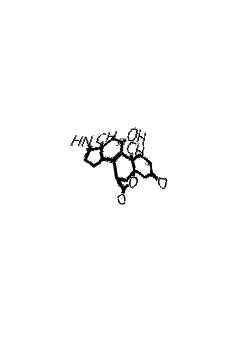 CC12C[C@@H](O)C3C(C4CC5(CC(=O)CCC35C)OC4=O)C1CCC2=N